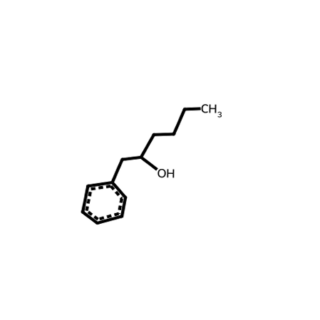 CCCCC(O)Cc1ccccc1